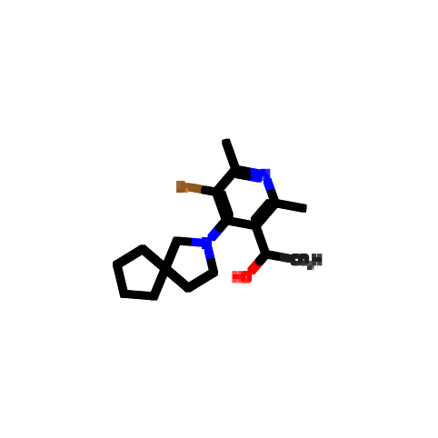 Cc1nc(C)c(C(O)C(=O)O)c(N2CCC3(CCCC3)C2)c1Br